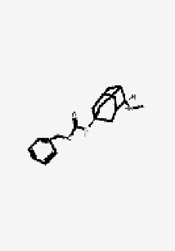 CN[C@H]1C2CC3CC1C[C@@](NC(=O)OCc1ccccc1)(C3)C2